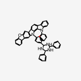 c1ccc(C2NC(c3ccccc3)NC(c3ccc(-n4c5cc6c(cc5c5ccc7c8ccccc8n(-c8ccccc8)c7c54)oc4ccccc46)cc3)N2)cc1